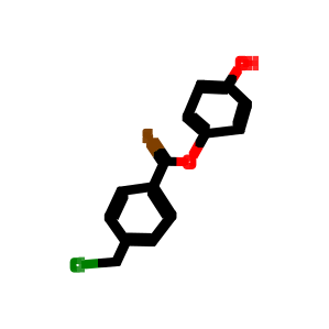 Oc1ccc(OC(=S)c2ccc(CCl)cc2)cc1